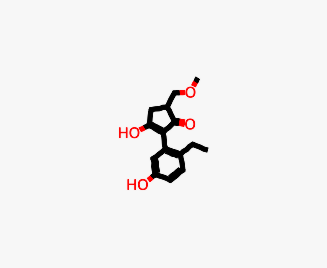 CCc1ccc(O)cc1C1=C(O)CC(COC)C1=O